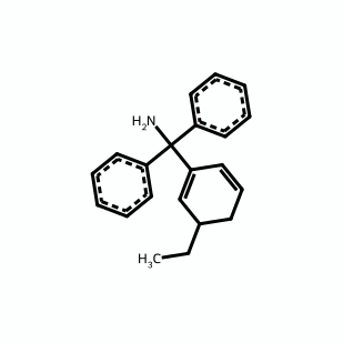 CCC1C=C(C(N)(c2ccccc2)c2ccccc2)C=CC1